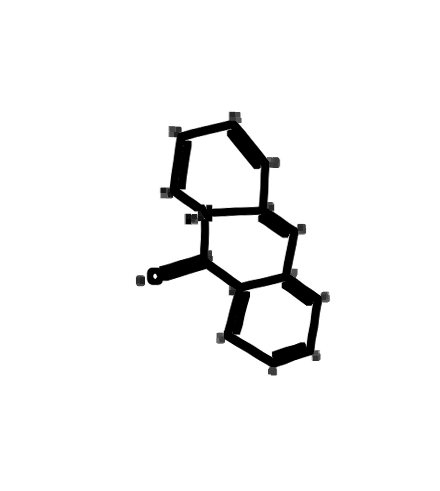 O=c1c2ccccc2cc2ccccn12